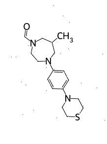 CC1CN(C=O)CCN(c2ccc(N3CCSCC3)cc2)C1